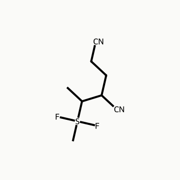 CC(C(C#N)CCC#N)S(C)(F)F